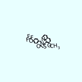 COc1ccc2cccnc2c1C1SCC(=O)N1Cc1ccc(OC(F)(F)F)cc1